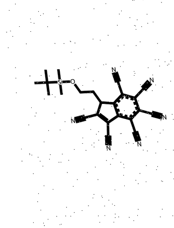 CC(C)(C)[Si](C)(C)OCCC1C(C#N)=C(C#N)c2c(C#N)c(C#N)c(C#N)c(C#N)c21